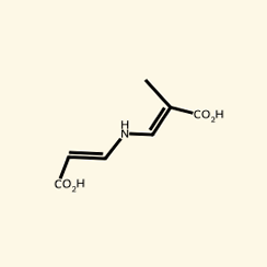 CC(=CNC=CC(=O)O)C(=O)O